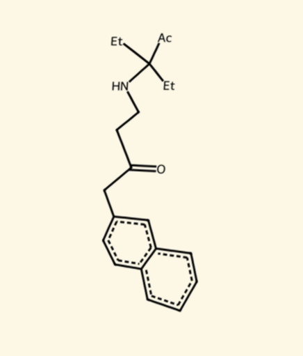 CCC(CC)(NCCC(=O)Cc1ccc2ccccc2c1)C(C)=O